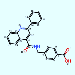 O=C(O)c1ccc(CNC(=O)c2cc(-c3ccccc3)nc3ccccc23)cc1